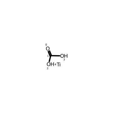 O=C(O)O.[Ti]